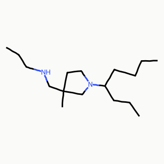 CCCCC(CCC)N1CCC(C)(CNCCC)C1